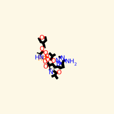 CO[C@](C#N)(CO[PH](=O)N[C@@H](C)C(=O)OCC1CCOCC1)[C@@H](OC(=O)C(C)C)[C@@H](CC(=O)C(C)C)c1ccc2c(N)ncnn12